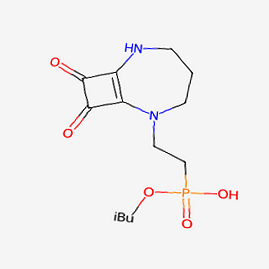 CCC(C)OP(=O)(O)CCN1CCCNc2c1c(=O)c2=O